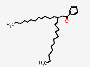 CCCCCCCCCCCCC(CCCCCCCCCCCC)CC(=O)c1ccccc1